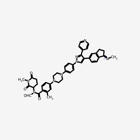 C/N=C1\CCc2cc(-c3cn(-c4ccc(N5CCN(c6ccc(C(=O)N(C=O)C7CCC(=O)N(C)C7=O)c(C)c6)CC5)cc4)nc3-c3ccncc3)ccc21